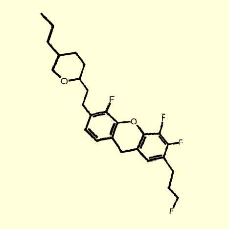 CCCC1CCC(CCc2ccc3c(c2F)Oc2c(cc(CCCF)c(F)c2F)C3)OC1